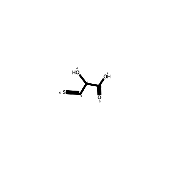 O=C(O)C(O)C=S